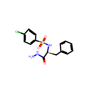 NNC(=O)[C@H](Cc1ccccc1)NS(=O)(=O)c1ccc(Cl)cc1